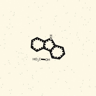 O=C(O)O.c1ccc2c(c1)[nH]c1ccccc12